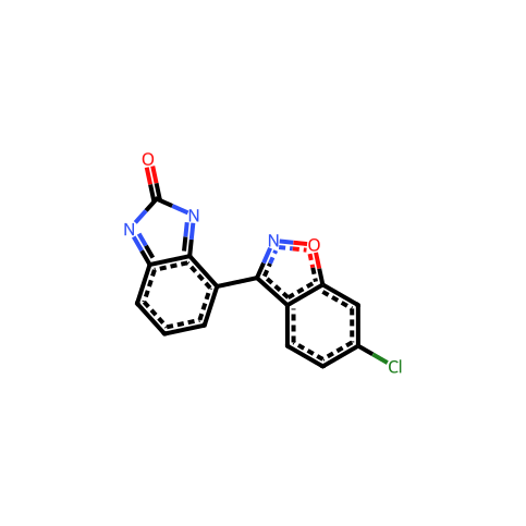 O=C1N=c2cccc(-c3noc4cc(Cl)ccc34)c2=N1